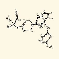 Cc1cc(Nc2nc(N3CCN(CC(C)(O)C=O)CC3)nn3cccc23)n[nH]1